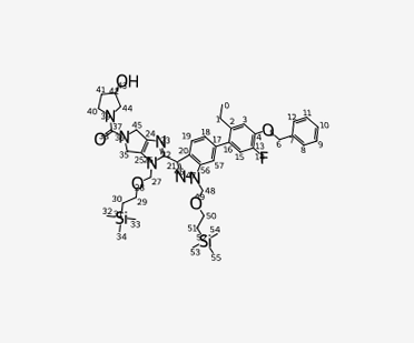 CCc1cc(OCc2ccccc2)c(F)cc1-c1ccc2c(-c3nc4c(n3COCC[Si](C)(C)C)CN(C(=O)N3CC[C@@H](O)C3)C4)nn(COCC[Si](C)(C)C)c2c1